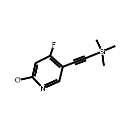 C[Si](C)(C)C#Cc1cnc(Cl)cc1F